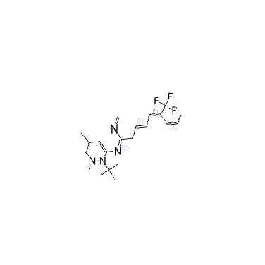 C=N/C(C/C=C/C=C(\C=C/C)C(F)(F)F)=N\C1=CC(C)CN(C)N1C(C)(C)C